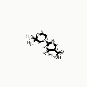 Cc1nc(N2CCOC(C)(C)C2)ncc1C(=O)O